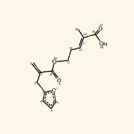 C=C(Cc1ccco1)C(=O)OCC/C=C(\C)C(=O)O